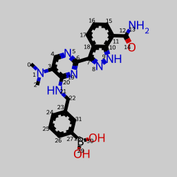 CN(C)c1cnc(-c2n[nH]c3c(C(N)=O)cccc23)nc1NCc1cccc(B(O)O)c1